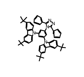 CC(C)(C)c1ccc2c(c1)c1cc(C(C)(C)C)ccc1n2-c1cc(-n2c(-c3ccccc3)nnc2-c2ccccc2)cc(-n2c3ccc(C(C)(C)C)cc3c3cc(C(C)(C)C)ccc32)c1